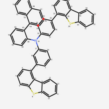 c1cc(-c2cccc3sc4ccccc4c23)cc(N(c2ccc(-c3cccc4c3sc3ccccc34)cc2)c2ccccc2-c2cccc3ccccc23)c1